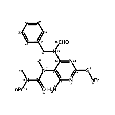 CCCSc1nc(N)c(N(C)C(=O)N(C)CCC)c(N(C=O)Cc2ccccc2)n1